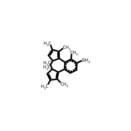 CC1=CC(C)C(c2ccc([SiH3])c(C)c2C2=C(C)C(C)=CC2C)=C1C